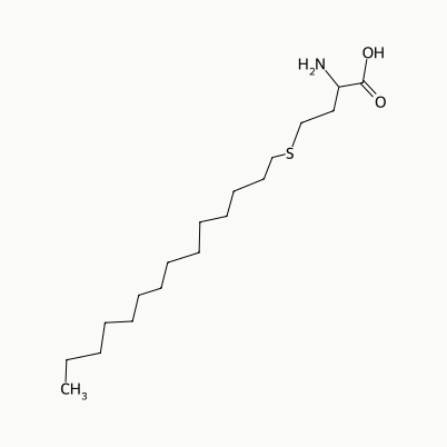 CCCCCCCCCCCCCCSCCC(N)C(=O)O